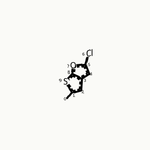 Cc1cc2cc(Cl)oc2s1